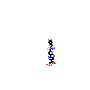 O=C(Nc1nc2cc(F)ccc2s1)c1ccc(-c2ncc([C@H](O)CO)cc2F)cn1